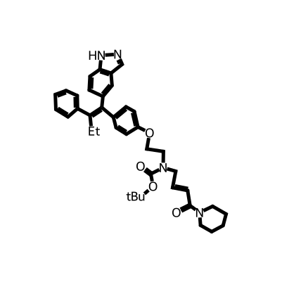 CCC(=C(c1ccc(OCCN(C/C=C/C(=O)N2CCCCC2)C(=O)OC(C)(C)C)cc1)c1ccc2[nH]ncc2c1)c1ccccc1